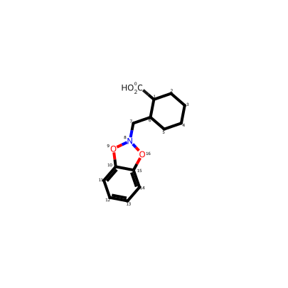 O=C(O)C1CCCCC1CN1Oc2ccccc2O1